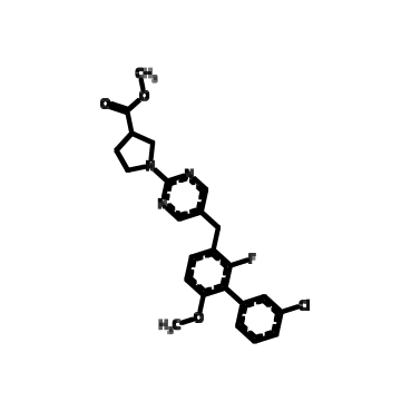 COC(=O)C1CCN(c2ncc(Cc3ccc(OC)c(-c4cccc(Cl)c4)c3F)cn2)C1